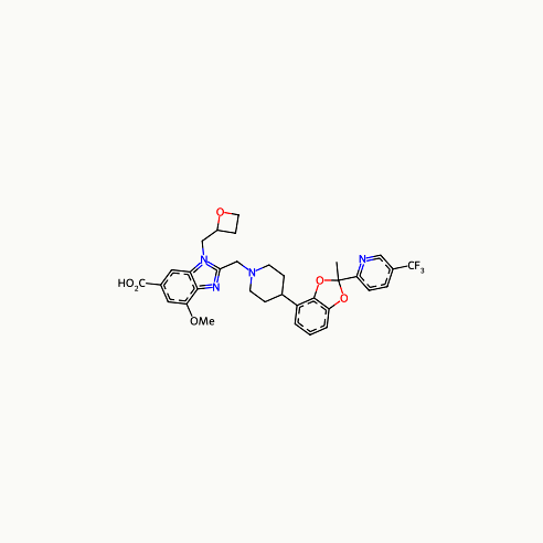 COc1cc(C(=O)O)cc2c1nc(CN1CCC(c3cccc4c3OC(C)(c3ccc(C(F)(F)F)cn3)O4)CC1)n2CC1CCO1